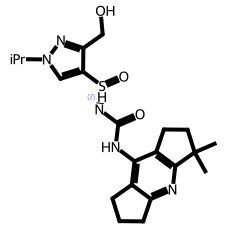 CC(C)n1cc(/[SH](=O)=N/C(=O)Nc2c3c(nc4c2CCC4(C)C)CCC3)c(CO)n1